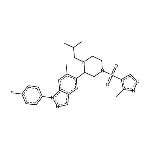 Cc1cc2c(cnn2-c2ccc(F)cc2)cc1C1CN(S(=O)(=O)c2conc2C)CCN1CC(C)C